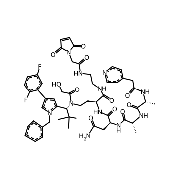 C[C@@H](NC(=O)Cc1ccncc1)C(=O)N[C@H](C)C(=O)N[C@@H](CC(N)=O)C(=O)N[C@@H](CCN(C(=O)CO)[C@@H](c1cc(-c2cc(F)ccc2F)cn1Cc1ccccc1)C(C)(C)C)C(=O)NCCNC(=O)CN1C(=O)C=CC1=O